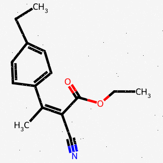 CCOC(=O)/C(C#N)=C(/C)c1ccc(CC)cc1